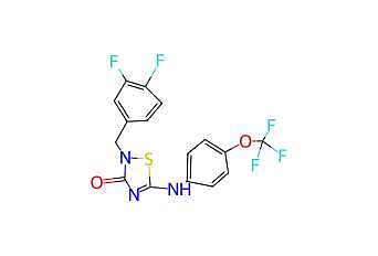 O=c1nc(Nc2ccc(OC(F)(F)F)cc2)sn1Cc1ccc(F)c(F)c1